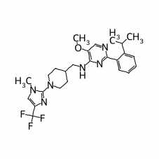 COc1cnc(-c2ccccc2C(C)C)nc1NCC1CCN(c2nc(C(F)(F)F)cn2C)CC1